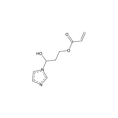 C=CC(=O)OCCC(O)n1ccnc1